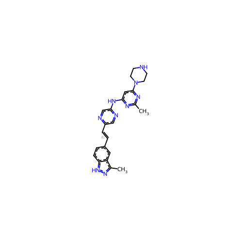 Cc1nc(Nc2cnc(/C=C/c3ccc4[nH]nc(C)c4c3)cn2)cc(N2CCNCC2)n1